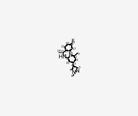 Cc1cc(-c2cnn(C)c2)cc(N[C@@H](C)c2ccc(F)cc2)n1